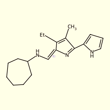 CCC1=C(C)C(c2ccc[nH]2)=N/C1=C/NC1CCCCCC1